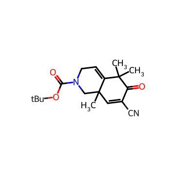 CC(C)(C)OC(=O)N1CC=C2C(C)(C=C(C#N)C(=O)C2(C)C)C1